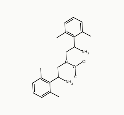 Cc1cccc(C)c1C(N)C[N](CC(N)c1c(C)cccc1C)[Cu]([Cl])[Cl]